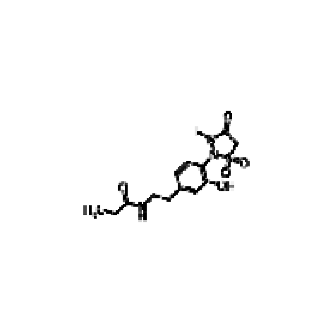 CCC(=O)NCCc1ccc(N2N(I)C(=O)CS2(=O)=O)c(O)c1